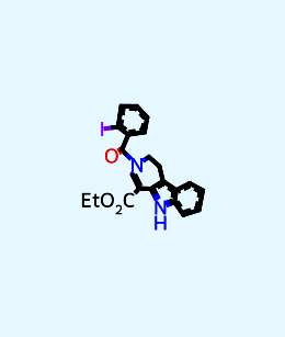 CCOC(=O)C1=CN(C(=O)c2ccccc2I)CCc2c1[nH]c1ccccc21